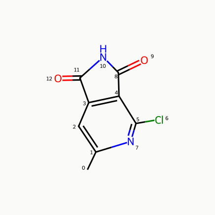 Cc1cc2c(c(Cl)n1)C(=O)NC2=O